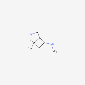 CNC1CC2(C)CNCC12